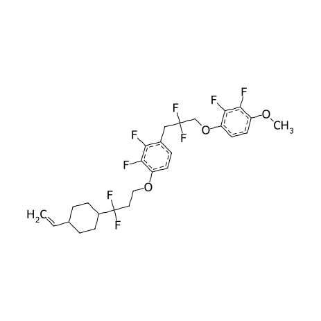 C=CC1CCC(C(F)(F)CCOc2ccc(CC(F)(F)COc3ccc(OC)c(F)c3F)c(F)c2F)CC1